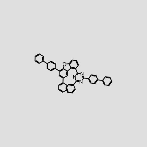 c1ccc(-c2ccc(-c3nc(-c4ccccc4)nc(-c4cccc5oc6c(-c7ccc(-c8ccccc8)cc7)cc(-c7ccccc7)cc6c45)n3)cc2)cc1